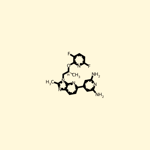 Cc1nc2ccc(-c3cc(N)nc(N)c3)nc2n1C[C@@H](C)Oc1nc(F)ccc1F